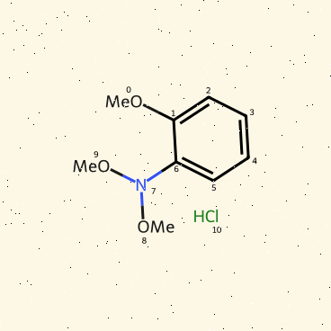 COc1ccccc1N(OC)OC.Cl